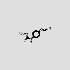 CC(C)(C)OC(=O)NC1CCC(OCC#N)CC1